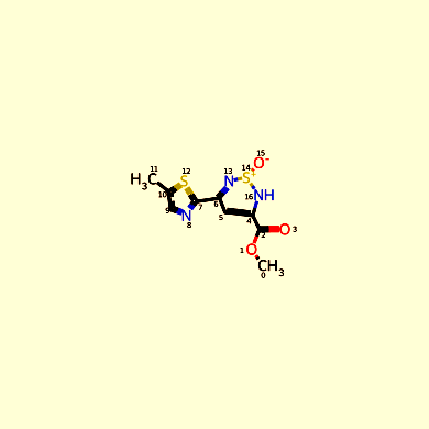 COC(=O)C1=CC(c2ncc(C)s2)=N[S+]([O-])N1